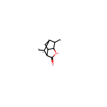 CC1C2CC3C1OC(=O)C3C2C